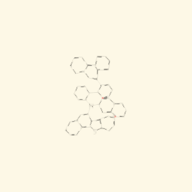 c1ccc(-c2cc3ccccc3c3ccccc23)c(-c2ccccc2N(c2ccc3ccccc3c2)c2cc3ccccc3c3sc4ccccc4c23)c1